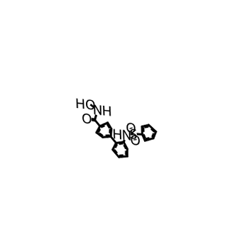 O=C(NO)c1ccc(-c2ccccc2NS(=O)(=O)c2ccccc2)cc1